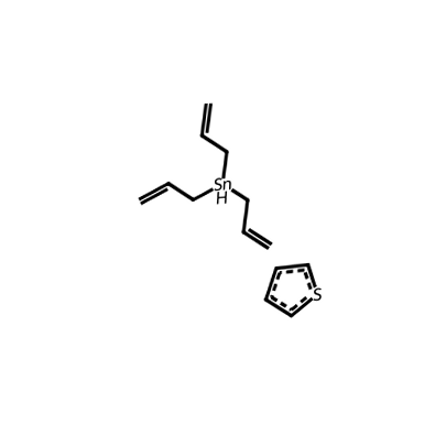 C=C[CH2][SnH]([CH2]C=C)[CH2]C=C.c1ccsc1